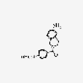 CCCCCCCc1ccc(C(=O)N2CCc3cc(N)ccc3C2)cc1